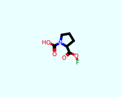 O=C(OF)C1CCCN1C(=O)O